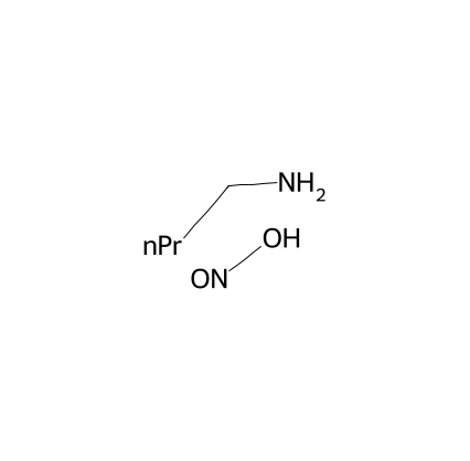 CCCCN.O=NO